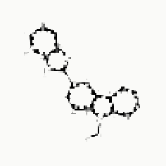 CCn1c2ccccc2c2cc(-c3nc4cccnc4[nH]3)ccc21